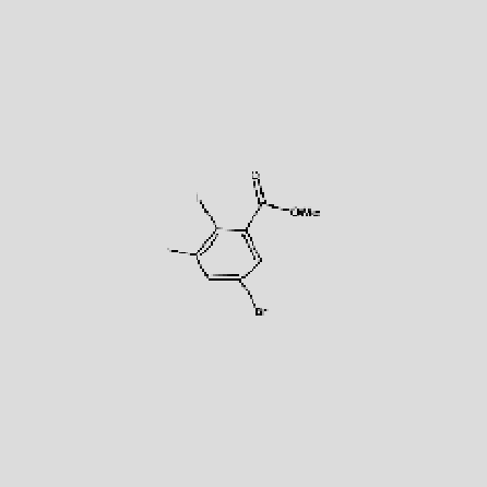 COC(=O)c1cc(Br)cc(C)c1I